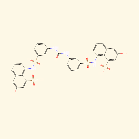 O=C(Nc1cccc(S(=O)(=O)Nc2cccc3cc(O)cc(S(=O)(=O)O)c23)c1)Nc1cccc(S(=O)(=O)Nc2cccc3cc(O)cc(S(=O)(=O)O)c23)c1